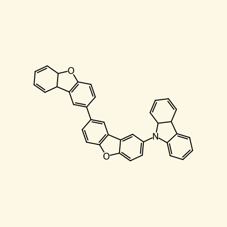 C1=CC2Oc3ccc(-c4ccc5oc6ccc(N7c8ccccc8C8C=CC=CC87)cc6c5c4)cc3C2C=C1